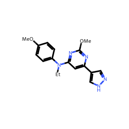 CCN(c1ccc(OC)cc1)c1cc(-c2cn[nH]c2)nc(OC)n1